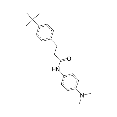 CN(C)c1ccc(NC(=O)CCc2ccc(C(C)(C)C)cc2)cc1